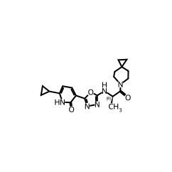 C[C@@H](Nc1nnc(-c2ccc(C3CC3)[nH]c2=O)o1)C(=O)N1CCC2(CC1)CC2